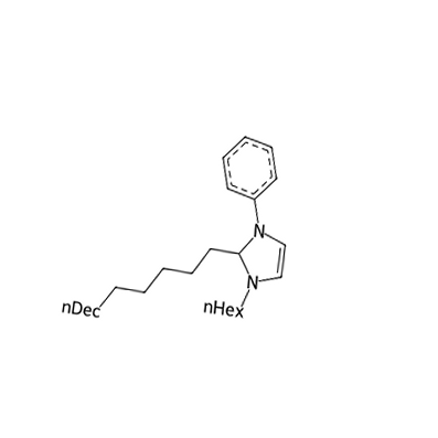 CCCCCCCCCCCCCCCC1N(CCCCCC)C=CN1c1ccccc1